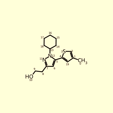 Cc1csc(-c2cc(CCO)nn2C2CCCCC2)c1